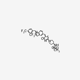 CS(=O)(=O)NC1CCN(C2=NC(=O)C(=Cc3ccc4c(cnn4Cc4ccc(C(F)(F)F)cc4C(F)(F)F)c3)S2)CC1